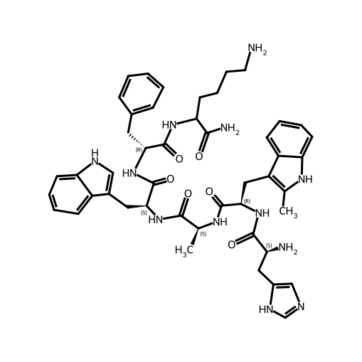 Cc1[nH]c2ccccc2c1C[C@@H](NC(=O)[C@@H](N)Cc1cnc[nH]1)C(=O)N[C@@H](C)C(=O)N[C@@H](Cc1c[nH]c2ccccc12)C(=O)N[C@H](Cc1ccccc1)C(=O)NC(CCCCN)C(N)=O